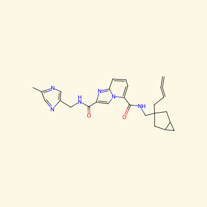 C=C=CCC1(CNC(=O)c2cccc3nc(C(=O)NCc4cnc(C)cn4)cn23)CC2CC2C1